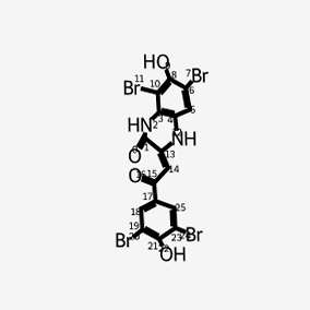 O=C1Nc2c(cc(Br)c(O)c2Br)NC1=CC(=O)c1cc(Br)c(O)c(Br)c1